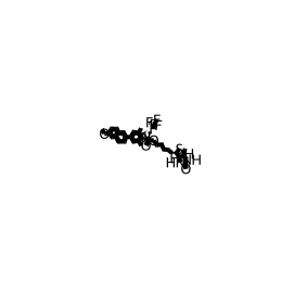 COc1ccc2cc(-c3cc(C)[n+](N(C)C(=O)OCCCCC[C@H]4SC[C@H]5NC(=O)N[C@H]54)c(C)c3)ccc2c1.F[B-](F)(F)F